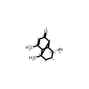 CC1=CC(=O)C2C3C1C2(C)CC[C@H]3C(C)C